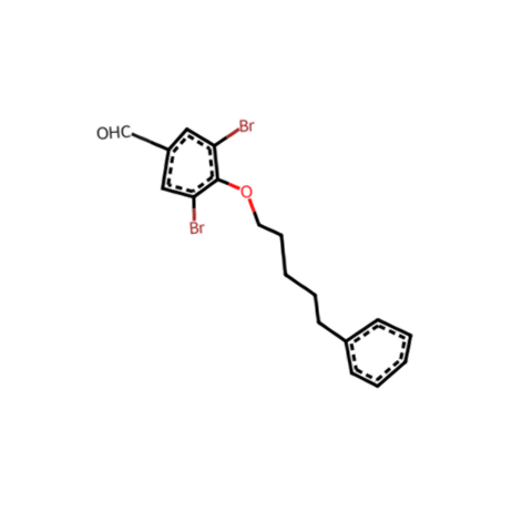 O=Cc1cc(Br)c(OCCCCCc2ccccc2)c(Br)c1